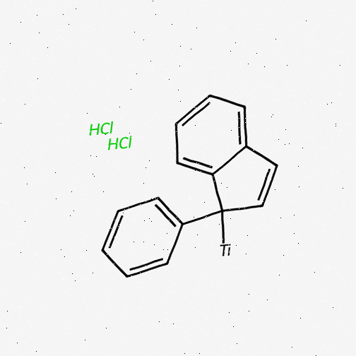 Cl.Cl.[Ti][C]1(c2ccccc2)C=Cc2ccccc21